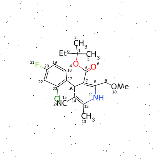 CCC(C)(C)OC(=O)C1=C(COC)NC(C)=C(C#N)C1c1ccc(F)cc1Cl